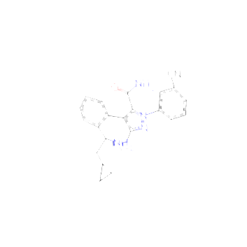 N#Cc1cccc(-n2nc(C(F)(F)F)c(-c3ccccc3C(N)CC3CC3)c2C(N)=O)c1